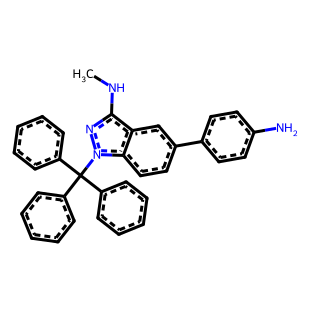 CNc1nn(C(c2ccccc2)(c2ccccc2)c2ccccc2)c2ccc(-c3ccc(N)cc3)cc12